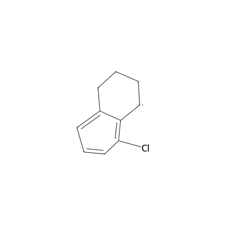 Clc1cccc2c1[CH]CCC2